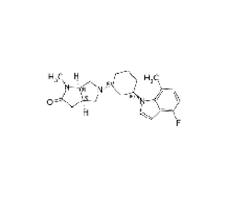 Cc1ccc(F)c2ccn([C@@H]3CCC[C@@H](N4C[C@H]5CC(=O)N(C)[C@H]5C4)C3)c12